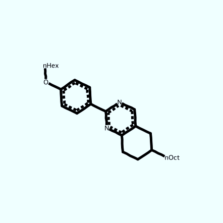 CCCCCCCCC1CCc2nc(-c3ccc(OCCCCCC)cc3)ncc2C1